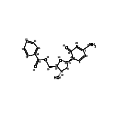 Nc1ccn([C@H]2C[C@H](O)[C@@H](COC(=O)c3ccccc3)O2)c(=O)n1